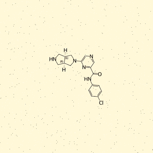 O=C(Nc1ccc(Cl)cc1)c1cncc(N2C[C@H]3CNC[C@H]3C2)n1